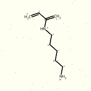 C=CC(=C)NCCCCCN